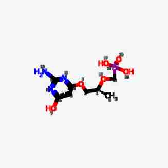 C[C@H](COc1cc(O)nc(N)n1)OCP(=O)(O)O